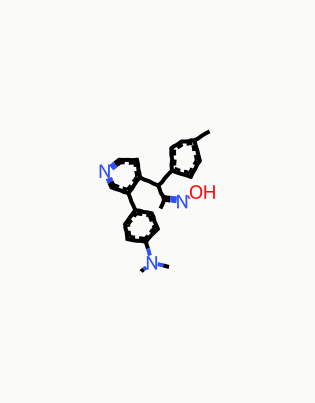 C/C(=N/O)C(c1ccc(C)cc1)c1ccncc1-c1ccc(N(C)C)cc1